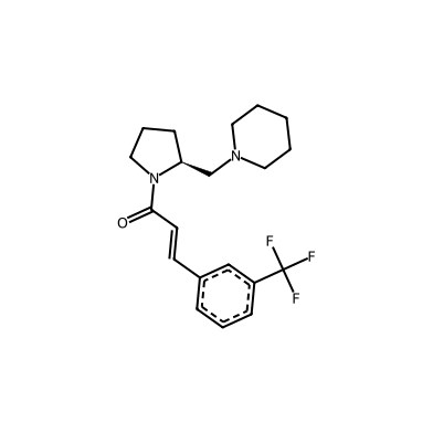 O=C(/C=C/c1cccc(C(F)(F)F)c1)N1CCC[C@H]1CN1CCCCC1